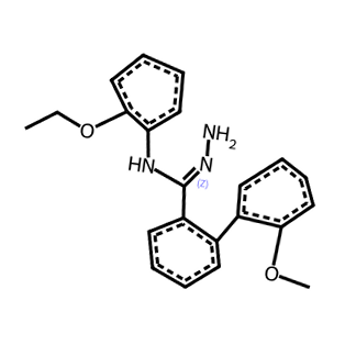 CCOc1ccccc1N/C(=N\N)c1ccccc1-c1ccccc1OC